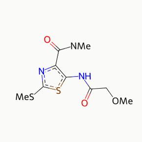 CNC(=O)c1nc(SC)sc1NC(=O)COC